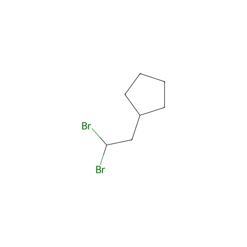 BrC(Br)CC1CCCC1